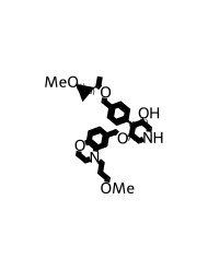 COCCCN1CCOc2ccc(CO[C@H]3CNC[C@@H](O)[C@@H]3c3ccc(COC(C)[C@@H]4C[C@@H]4OC)cc3)cc21